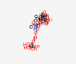 CC(=O)O[C@H]1C(=O)[C@@H](C)[C@@H]2[C@H](OC(=O)c3ccccc3)[C@]3(O)C[C@H](OC(=O)[C@H](OC(=O)OCCOCCOCCOC[C@H]4OC(O)[C@@H](O)[C@@H](O)[C@@H]4O)[C@@H](NC(=O)c4ccccc4)c4ccccc4)C(C)=C1C3(C)[C@@H](O)C[C@H]1OC[C@@]21OC(C)=O